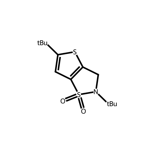 CC(C)(C)c1cc2c(s1)CN(C(C)(C)C)S2(=O)=O